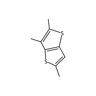 Cc1cc2sc(C)c(C)c2s1